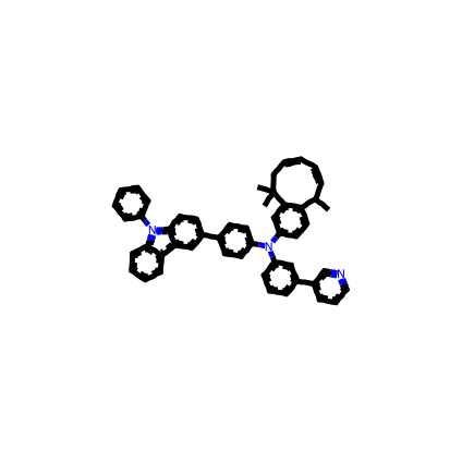 CC1/C=C\C=C/CC(C)(C)c2cc(N(c3ccc(-c4ccc5c(c4)c4ccccc4n5-c4ccccc4)cc3)c3cccc(-c4cccnc4)c3)ccc21